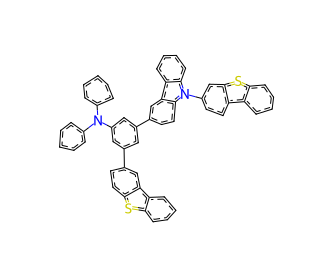 c1ccc(N(c2ccccc2)c2cc(-c3ccc4sc5ccccc5c4c3)cc(-c3ccc4c(c3)c3ccccc3n4-c3ccc4c(c3)sc3ccccc34)c2)cc1